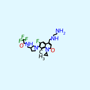 Cc1c(N2CCC(CNC(=O)C(F)(F)F)C2)c(F)cc2c(CNCCN)cc(=O)n(C3CC3)c12